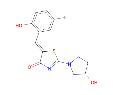 O=C1N=C(N2CC[C@H](O)C2)S/C1=C\c1cc(F)ccc1O